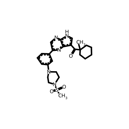 CC1(C(=O)c2c[nH]c3ncc(-c4cccc(N5CCN(S(C)(=O)=O)CC5)c4)nc23)CCCCC1